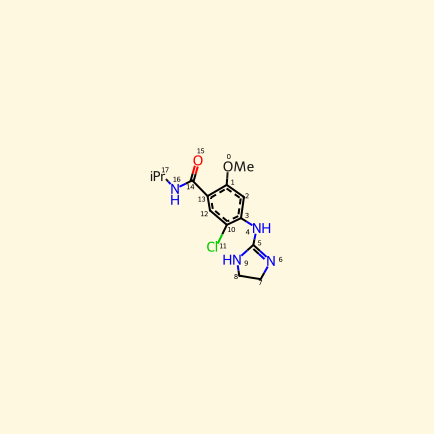 COc1cc(NC2=NCCN2)c(Cl)cc1C(=O)NC(C)C